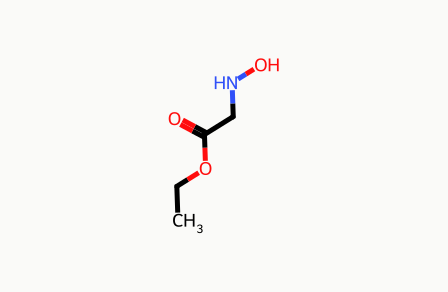 CCOC(=O)CNO